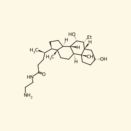 CC[C@H]1[C@@H](O)[C@@H]2[C@H](CC[C@]3(C)[C@@H]([C@H](C)CCC(=O)NCCN)CC[C@@H]23)[C@@]2(C)CC[C@@H](O)C[C@@H]12